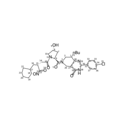 CCCCC1CN(C(=O)[C@@H]2C[C@@H](O)CN2C(=O)C[C@@H](CC2CCCCC2)C(=O)N=O)Cc2c1nc(-c1ccc(Cl)cc1)[nH]c2=O